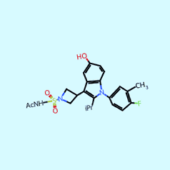 CC(=O)NS(=O)(=O)N1CC(c2c(C(C)C)n(-c3ccc(F)c(C)c3)c3ccc(O)cc23)C1